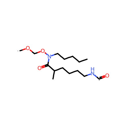 [CH2]OCON(CCCCC)C(=O)C(C)CCCCN[C]=O